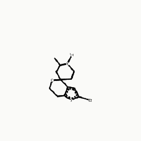 [2H]N1CCC2(CC1C)OCCc1sc(CC)cc12